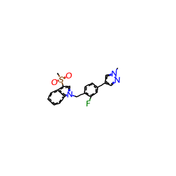 Cn1cc(-c2ccc(Cn3cc(S(C)(=O)=O)c4ccccc43)c(F)c2)cn1